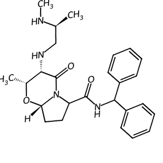 CN[C@@H](C)CN[C@@H]1C(=O)N2C(C(=O)NC(c3ccccc3)c3ccccc3)CC[C@@H]2O[C@@H]1C